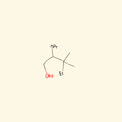 CCCC(CO)C(C)(C)CC